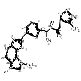 Cc1nnsc1C(=O)N[C@@H](C)c1cccc(-c2nc3c(ncc4ncn(C)c43)s2)c1